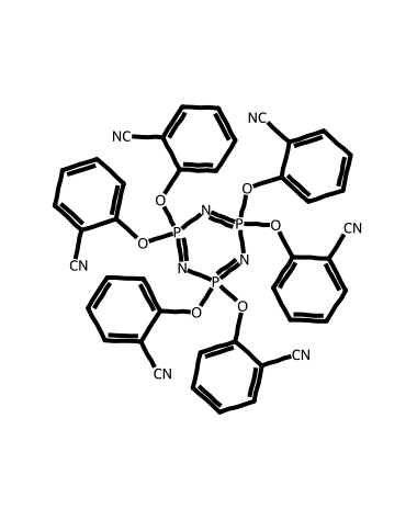 N#Cc1ccccc1OP1(Oc2ccccc2C#N)=NP(Oc2ccccc2C#N)(Oc2ccccc2C#N)=NP(Oc2ccccc2C#N)(Oc2ccccc2C#N)=N1